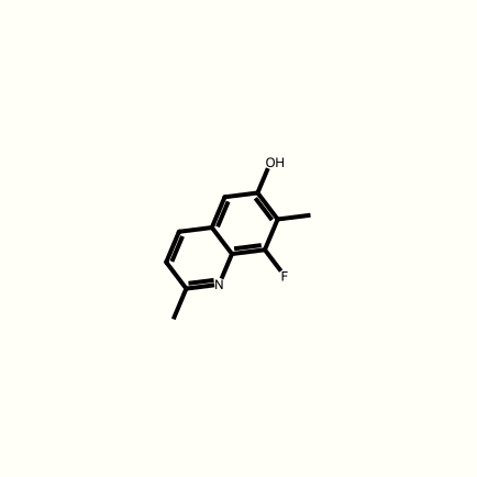 Cc1ccc2cc(O)c(C)c(F)c2n1